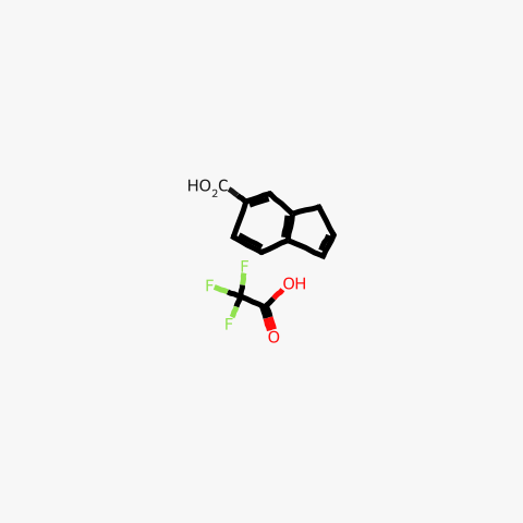 O=C(O)C(F)(F)F.O=C(O)c1ccc2c(c1)CC=C2